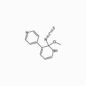 COC1(N=C=S)NC=CC=C1c1ccncc1